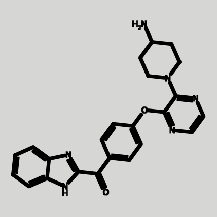 NC1CCN(c2nccnc2Oc2ccc(C(=O)c3nc4ccccc4[nH]3)cc2)CC1